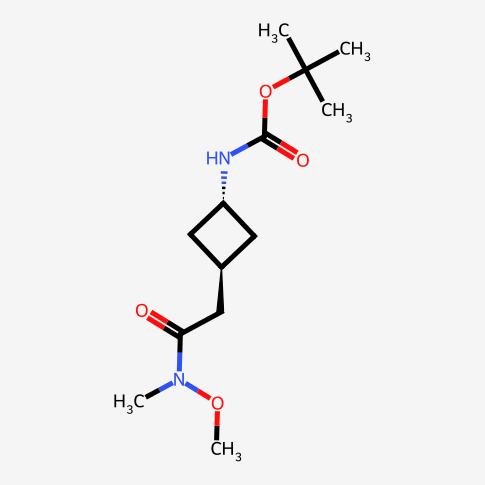 CON(C)C(=O)C[C@H]1C[C@H](NC(=O)OC(C)(C)C)C1